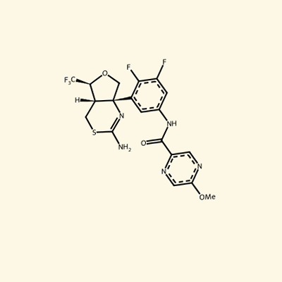 COc1cnc(C(=O)Nc2cc(F)c(F)c([C@]34CO[C@H](C(F)(F)F)[C@H]3CSC(N)=N4)c2)cn1